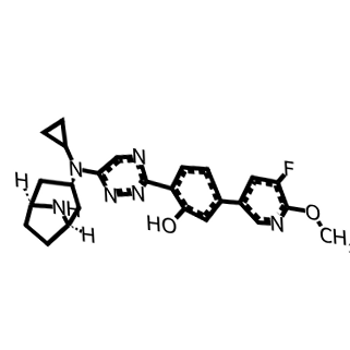 COc1ncc(-c2ccc(-c3ncc(N(C4CC4)[C@@H]4C[C@H]5CC[C@@H](C4)N5)nn3)c(O)c2)cc1F